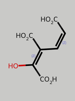 O=C(O)/C=C\C(C(=O)O)=C(\O)C(=O)O